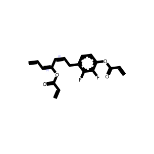 C=C/C=C(\C=C/Cc1ccc(OC(=O)C=C)c(F)c1F)OC(=O)C=C